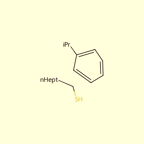 CC(C)c1ccccc1.CCCCCCCCS